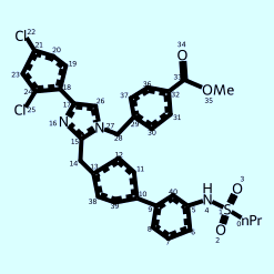 CCCS(=O)(=O)Nc1cccc(-c2ccc(Cc3nc(-c4ccc(Cl)cc4Cl)cn3Cc3ccc(C(=O)OC)cc3)cc2)c1